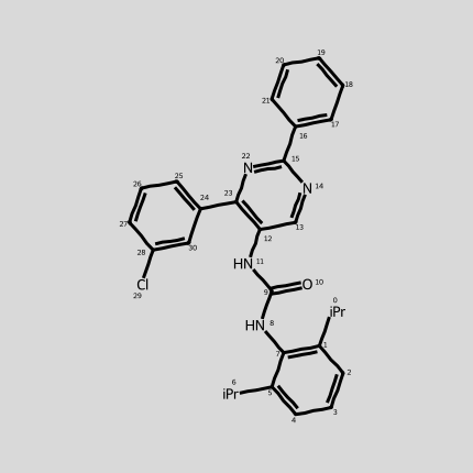 CC(C)c1cccc(C(C)C)c1NC(=O)Nc1cnc(-c2ccccc2)nc1-c1cccc(Cl)c1